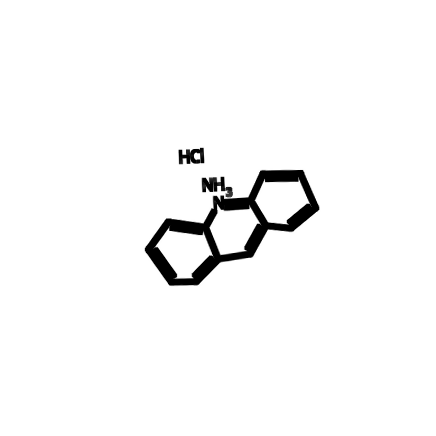 Cl.N.c1ccc2nc3ccccc3cc2c1